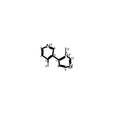 Ic1ccncc1-c1ccnc[n+]1I